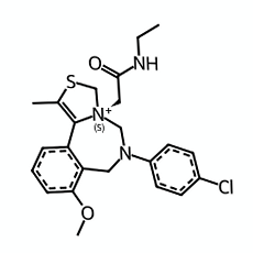 CCNC(=O)C[N@+]12CSC(C)=C1c1cccc(OC)c1CN(c1ccc(Cl)cc1)C2